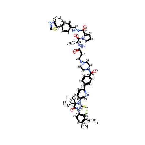 Cc1ncsc1-c1ccc(CNC(=O)C2CCCN2C(=O)C(NC(=O)CCN2CCN(C(=O)c3ccc(-c4ccc(N5C(=S)N(c6ccc(C#N)c(C(F)(F)F)c6F)C(=O)C5(C)C)cn4)cc3)CC2)C(C)(C)C)cc1